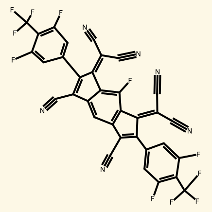 N#CC(C#N)=C1C(c2cc(F)c(C(F)(F)F)c(F)c2)=C(C#N)c2cc3c(c(F)c21)C(=C(C#N)C#N)C(c1cc(F)c(C(F)(F)F)c(F)c1)=C3C#N